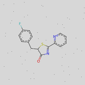 O=C1N=C(c2ccccn2)SC1Cc1ccc(F)cc1